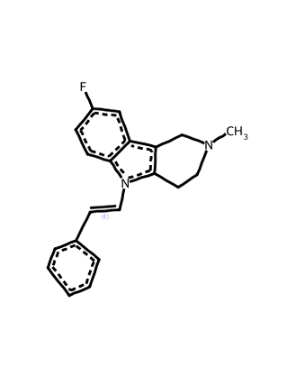 CN1CCc2c(c3cc(F)ccc3n2/C=C/c2ccccc2)C1